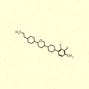 CCCC1CCC(C2CCC(C3CCC(c4ccc(C)c(F)c4F)CC3)CO2)CC1